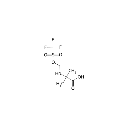 CC(C)(NCOS(=O)(=O)C(F)(F)F)C(=O)O